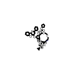 O=C(N[C@H]1CCCCC/C=C\[C@@H]2C[C@@]2(C(=O)NS(=O)(=O)C2CC2)NC(=O)[C@@H]2C[C@@H](Oc3cc(-c4ccccc4)nc4c3oc3ccccc34)CC2C1=O)OC1CCCC1